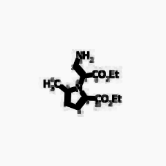 CCOC(=O)C(=CN)n1c(C)ccc1C(=O)OCC